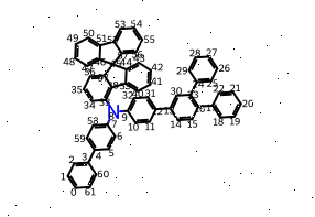 c1ccc(-c2ccc(N(c3ccc(-c4ccc(-c5ccccc5)c(-c5ccccc5)c4)cc3)c3cccc4c3-c3ccccc3C43c4ccccc4-c4ccccc43)cc2)cc1